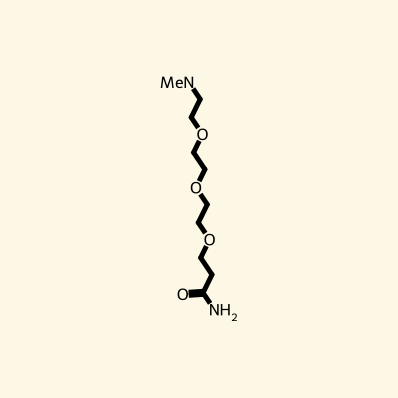 CNCCOCCOCCOCCC(N)=O